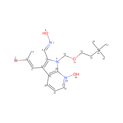 C/C(Br)=C\c1c(/C=N/O)n(COCC[Si](C)(C)C)c2c1ccc[n+]2O